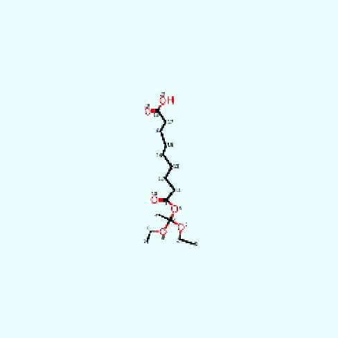 CCOC(C)(OCC)OC(=O)CCCCCCCC(=O)O